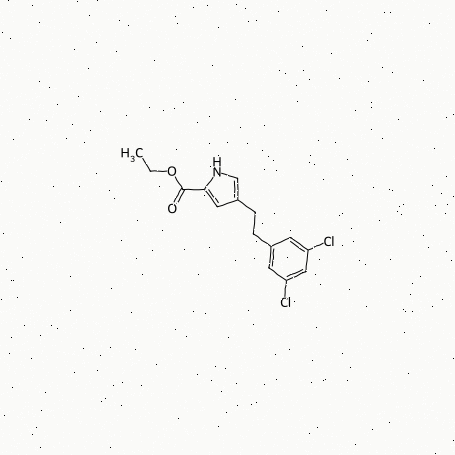 CCOC(=O)c1cc(CCc2cc(Cl)cc(Cl)c2)c[nH]1